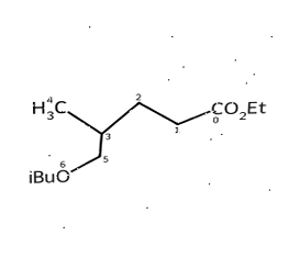 CCOC(=O)CCC(C)COCC(C)C